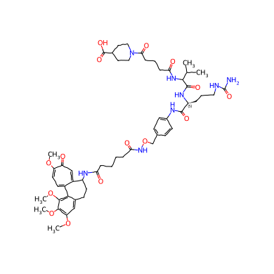 COc1cc2c(c(OC)c1OC)-c1ccc(OC)c(=O)cc1C(NC(=O)CCCCC(=O)NOCc1ccc(NC(=O)[C@H](CCCNC(N)=O)NC(=O)C(NC(=O)CCCC(=O)N3CCC(C(=O)O)CC3)C(C)C)cc1)CC2